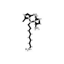 Cc1ncc([N+](=O)[O-])n1N(CCCCCCCCN)n1c([N+](=O)[O-])cnc1C